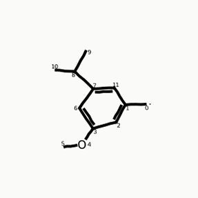 [CH2]c1cc(OC)cc(C(C)C)c1